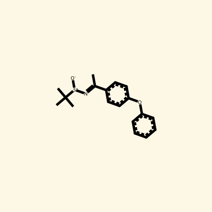 CC(=N[S+]([O-])C(C)(C)C)c1ccc(Oc2ccccc2)cc1